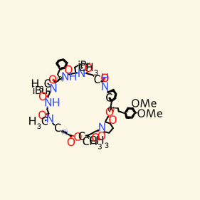 CCC(C)C1C(=O)NCC(=O)N(C)CC/C=C\C(=O)OCC(C)(C)C(=O)C(=O)N2CCCCC2C(=O)O[C@H](CCc2ccc(OC)c(OC)c2)c2cccc(c2)NC(=O)CCC(=O)N(C)C(CC(C)C)C(=O)N[C@H](Cc2ccccc2)C(=O)N1C